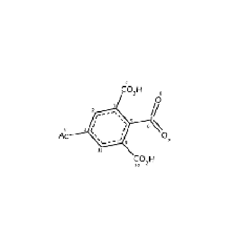 CC(=O)c1cc(C(=O)O)c(I(=O)=O)c(C(=O)O)c1